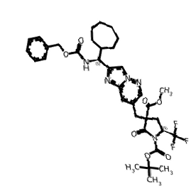 COC(=O)C1(Cc2cnn3cc([C@@H](NC(=O)OCc4ccccc4)C4CCCCCC4)nc3c2)C[C@@H](C(F)(F)F)N(C(=O)OC(C)(C)C)C1=O